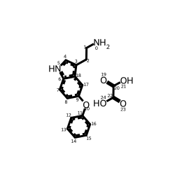 NCCc1c[nH]c2ccc(Oc3ccccc3)cc12.O=C(O)C(=O)O